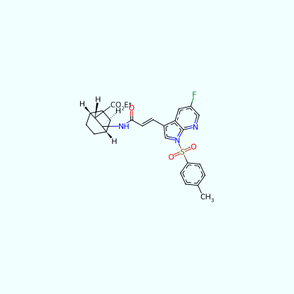 CCOC(=O)[C@H]1[C@H]2CC[C@H](CC2)[C@@H]1NC(=O)/C=C/c1cn(S(=O)(=O)c2ccc(C)cc2)c2ncc(F)cc12